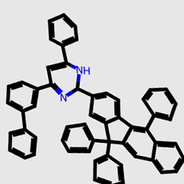 C1=C(c2ccccc2)NC(c2ccc3c(c2)C(c2ccccc2)(c2ccccc2)c2cc4ccccc4c(-c4ccccc4)c2-3)N=C1c1cccc(-c2ccccc2)c1